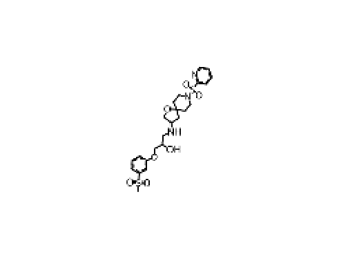 CS(=O)(=O)c1cccc(OCC(O)CNC2COC3(CCN(S(=O)(=O)c4ccccn4)CC3)C2)c1